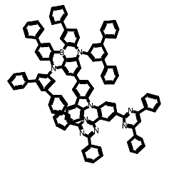 c1ccc(-c2cc(-c3ccccc3)cc(N3c4ccc(-c5ccccc5)cc4B4c5cc(-c6ccccc6)ccc5N(c5cc(-c6ccccc6)cc(-c6ccccc6)c5)c5cc(-c6ccc7c(c6)c6ccccc6n7-c6ccc(-c7nc(-c8ccccc8)cc(-c8ccccc8)n7)cc6-c6nc(-c7ccccc7)nc(-c7ccccc7)n6)cc3c54)c2)cc1